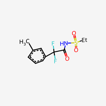 CCS(=O)(=O)NC(=O)C(F)(F)c1cccc(C)c1